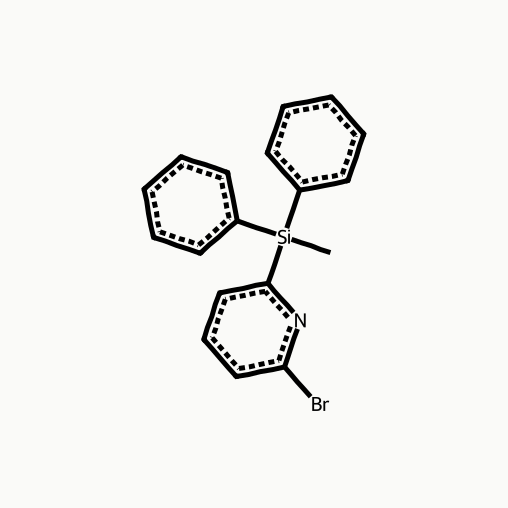 C[Si](c1ccccc1)(c1ccccc1)c1cccc(Br)n1